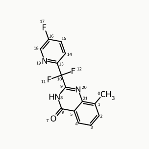 Cc1cccc2c(=O)[nH]c(C(F)(F)c3ccc(F)cn3)nc12